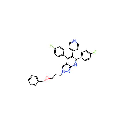 Fc1ccc(-c2nc3nn(CCCOCc4ccccc4)cc3c(-c3ccc(F)cc3)c2-c2ccncc2)cc1